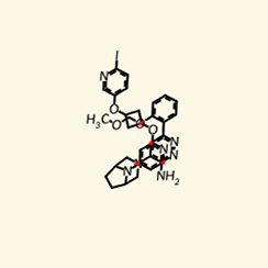 COCOc1ccccc1-c1cc(N2CC3CCC(C2)N3c2ccnc(OC3CC(Oc4ccc(I)nc4)C3)c2)c(N)nn1